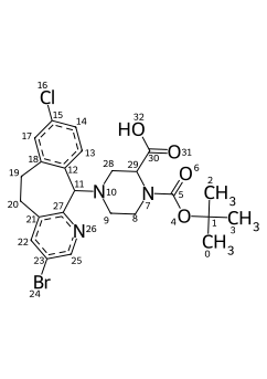 CC(C)(C)OC(=O)N1CCN(C2c3ccc(Cl)cc3CCc3cc(Br)cnc32)CC1C(=O)O